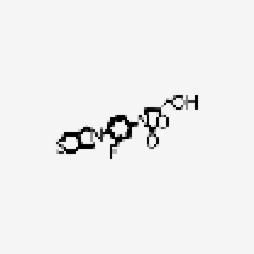 O=C1O[C@@H](CO)CN1c1ccc(N2CC3CSCC3C2)c(F)c1